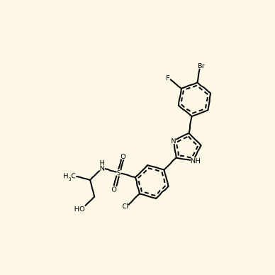 CC(CO)NS(=O)(=O)c1cc(-c2nc(-c3ccc(Br)c(F)c3)c[nH]2)ccc1Cl